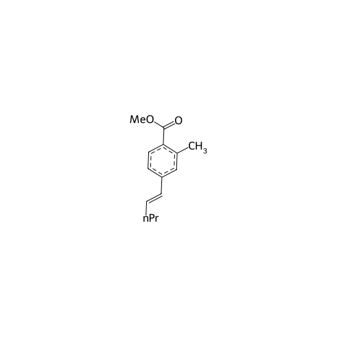 CCC/C=C/c1ccc(C(=O)OC)c(C)c1